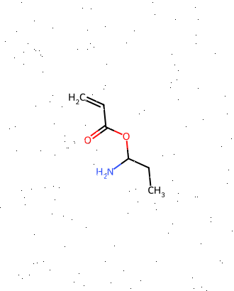 C=CC(=O)OC(N)CC